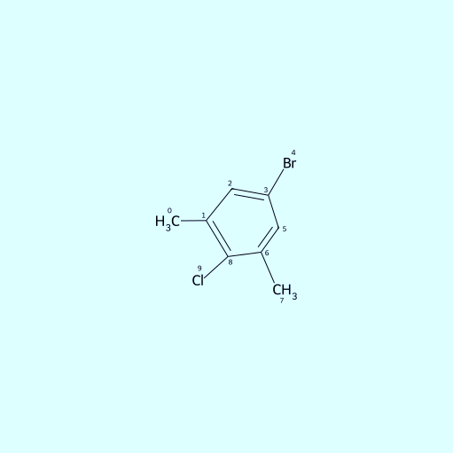 Cc1cc(Br)cc(C)c1Cl